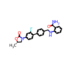 C[C@H]1CN(c2ccc(-c3ccc(CNc4ccccc4C(N)=O)cc3)c(F)c2)C(=O)O1